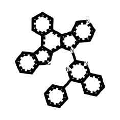 c1ccc(-c2nc(-n3c4ccncc4c4c5ccccc5c5c6ccccc6sc5c43)nc3ccccc23)cc1